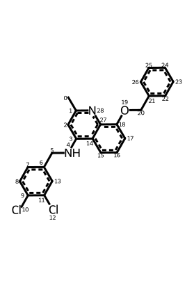 Cc1cc(NCc2ccc(Cl)c(Cl)c2)c2cccc(OCc3ccccc3)c2n1